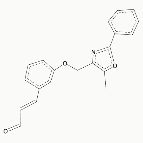 Cc1oc(-c2ccccc2)nc1COc1cccc(/C=C/C=O)c1